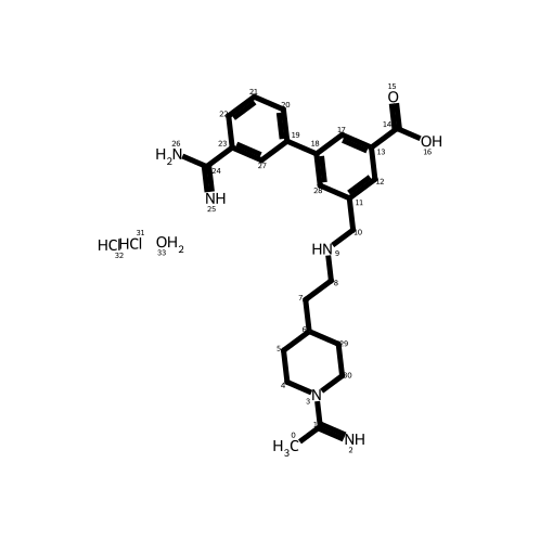 CC(=N)N1CCC(CCNCc2cc(C(=O)O)cc(-c3cccc(C(=N)N)c3)c2)CC1.Cl.Cl.O